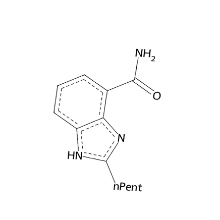 CCCCCc1nc2c(C(N)=O)cccc2[nH]1